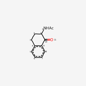 CC(=O)NC1CCc2ccccc2C1=O